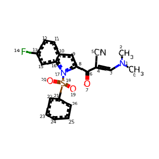 CN(C)/C=C(\C#N)C(=O)c1cc2ccc(F)cc2n1S(=O)(=O)c1ccccc1